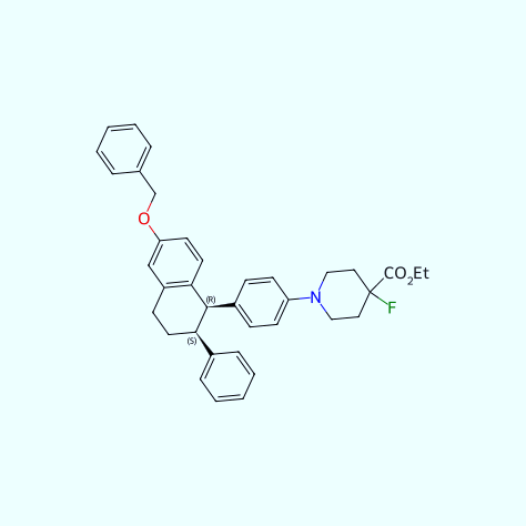 CCOC(=O)C1(F)CCN(c2ccc([C@@H]3c4ccc(OCc5ccccc5)cc4CC[C@@H]3c3ccccc3)cc2)CC1